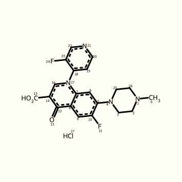 CN1CCN(c2cc3c(cc2F)c(=O)c(C(=O)O)cn3-c2ccncc2F)CC1.Cl